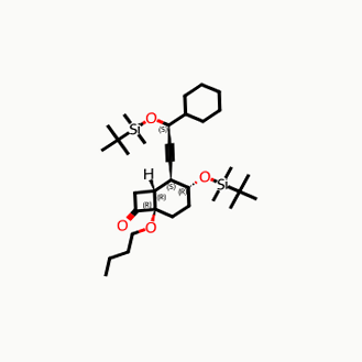 CCCCO[C@]12CC[C@@H](O[Si](C)(C)C(C)(C)C)[C@H](C#C[C@@H](O[Si](C)(C)C(C)(C)C)C3CCCCC3)[C@H]1CC2=O